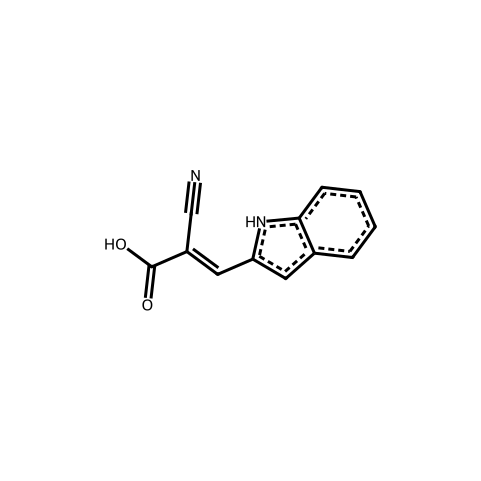 N#C/C(=C\c1cc2ccccc2[nH]1)C(=O)O